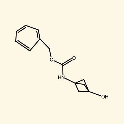 O=C(NC12CC(O)(C1)C2)OCc1ccccc1